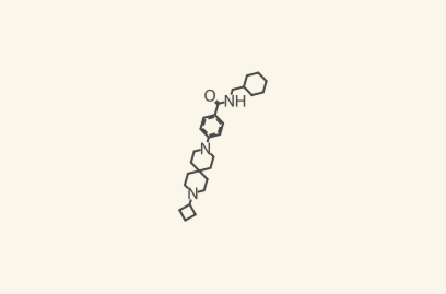 O=C(NCC1CCCCC1)c1ccc(N2CCC3(CC2)CCN(C2CCC2)CC3)cc1